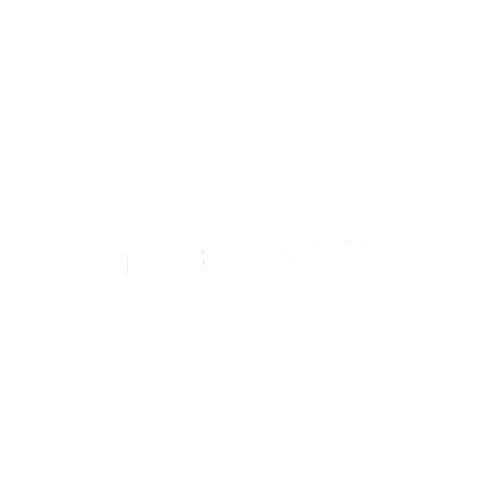 C[C](CCC(C)CCC=C(C)C)CCC(C)CCC=C(C)C